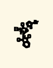 CCN(CC)C(=O)[C@@]1(c2ccc(Br)s2)C[C@H]1CN1C(=O)c2ccccc2C1=O